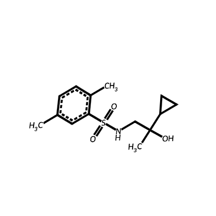 Cc1ccc(C)c(S(=O)(=O)NCC(C)(O)C2CC2)c1